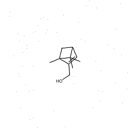 CC12CC(C=C1CO)C2(C)C